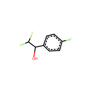 OC(c1ccc(F)cc1)C(F)F